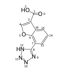 O=C(O)c1coc2c(-c3nnn[nH]3)cccc12